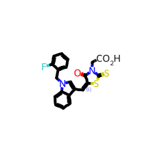 O=C(O)CN1C(=O)/C(=C\c2cn(Cc3ccccc3F)c3ccccc23)SC1=S